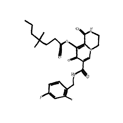 CCCC(C)(C)CCC(=O)Oc1c2n(cc(C(=O)NCc3ccc(F)cc3F)c1=O)CCNC2=O